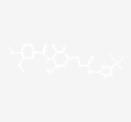 COc1ccc(C(=O)Nc2c(N)nc(SCC(=O)Nc3cc(C(F)(F)F)on3)[nH]c2=O)cc1OC